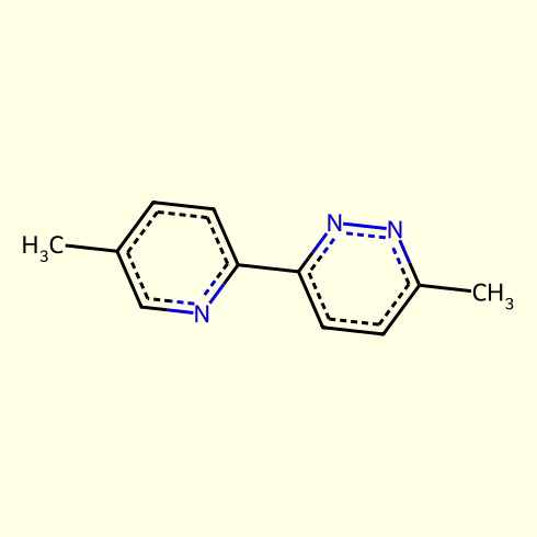 Cc1ccc(-c2ccc(C)nn2)nc1